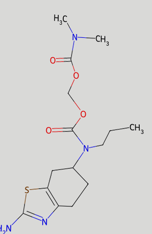 CCCN(C(=O)OCOC(=O)N(C)C)C1CCc2nc(N)sc2C1